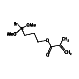 C=C(C)C(=O)OCCC[Si](Br)(OC)OC